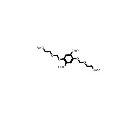 COCCOCOc1cc(C=O)c(OCOCCOC)cc1C=O